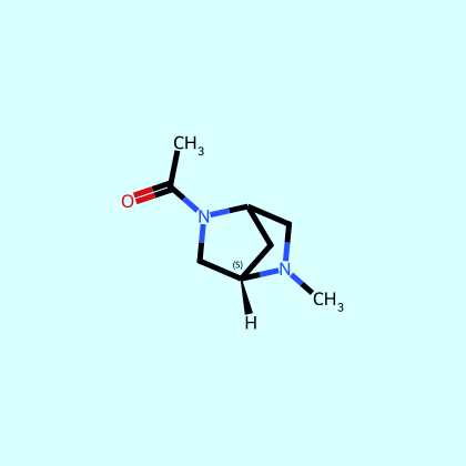 CC(=O)N1C[C@@H]2CC1CN2C